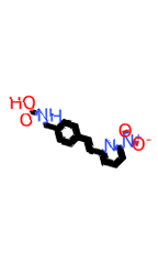 O=C(O)NCc1ccc(/C=C/c2cccc([N+](=O)[O-])n2)cc1